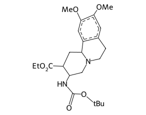 CCOC(=O)C1CC2c3cc(OC)c(OC)cc3CCN2CC1NC(=O)OC(C)(C)C